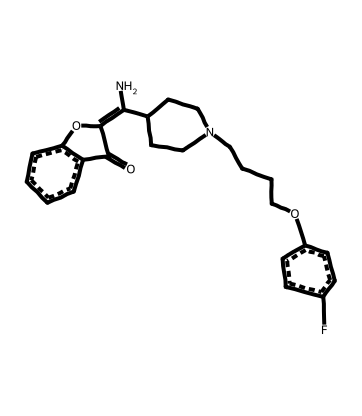 N/C(=C1\Oc2ccccc2C1=O)C1CCN(CCCCOc2ccc(F)cc2)CC1